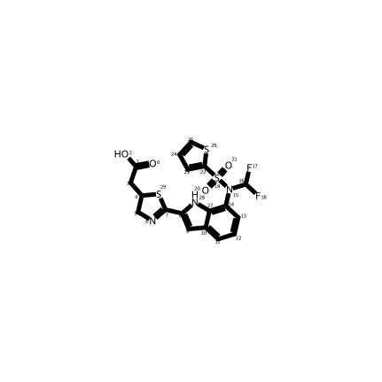 O=C(O)CC1CN=C(c2cc3cccc(N(C(F)F)S(=O)(=O)c4cccs4)c3[nH]2)S1